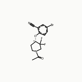 CC(=O)N1CC[C@H](Oc2ccc(Br)cc2C#N)C(F)(F)C1